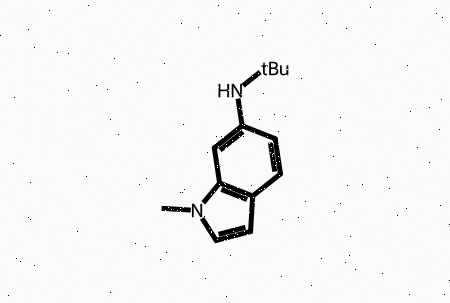 Cn1ccc2ccc(NC(C)(C)C)cc21